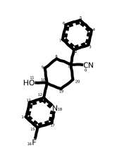 N#CC1(c2ccccc2)CCC(O)(c2ccc(F)cn2)CC1